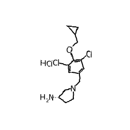 Cl.N[C@H]1CCN(Cc2cc(Cl)c(OCC3CC3)c(Cl)c2)C1